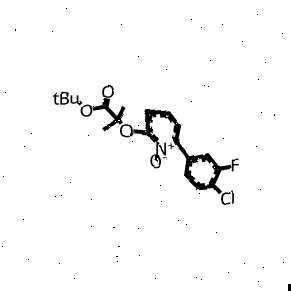 CC(C)(C)OC(=O)C(C)(C)Oc1cccc(-c2ccc(Cl)c(F)c2)[n+]1[O-]